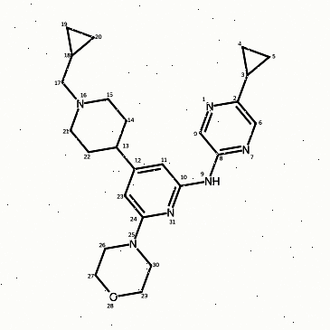 c1nc(C2CC2)cnc1Nc1cc(C2CCN(CC3CC3)CC2)cc(N2CCOCC2)n1